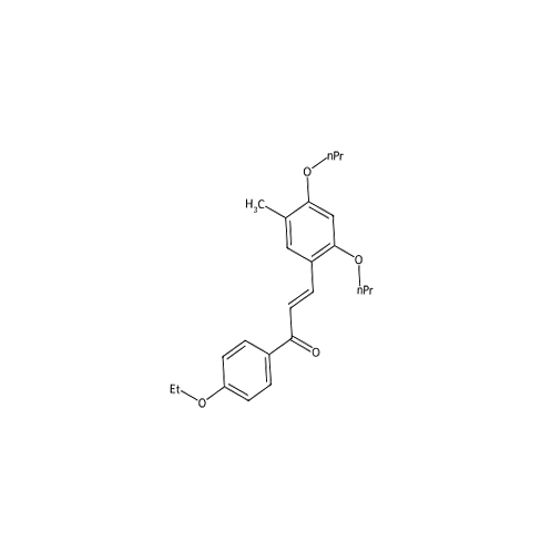 CCCOc1cc(OCCC)c(C=CC(=O)c2ccc(OCC)cc2)cc1C